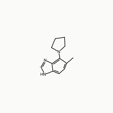 Cc1ccc2[nH][c]nc2c1N1CCCC1